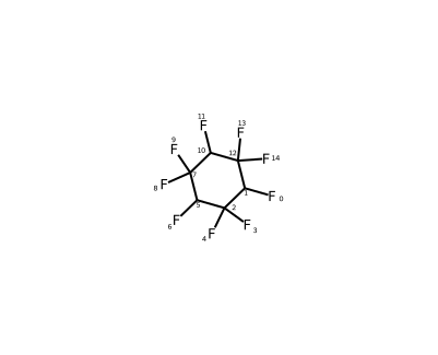 FC1C(F)(F)C(F)C(F)(F)C(F)C1(F)F